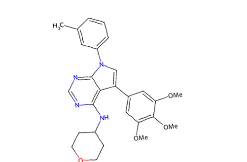 COc1cc(-c2cn(-c3cccc(C)c3)c3ncnc(NC4CCOCC4)c23)cc(OC)c1OC